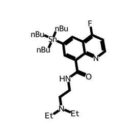 CCC[CH2][Sn]([CH2]CCC)([CH2]CCC)[c]1cc(C(=O)NCCN(CC)CC)c2nccc(F)c2c1